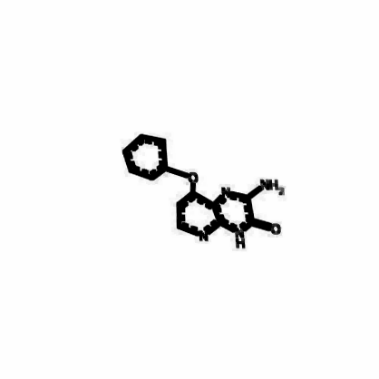 Nc1nc2c(Oc3ccccc3)ccnc2[nH]c1=O